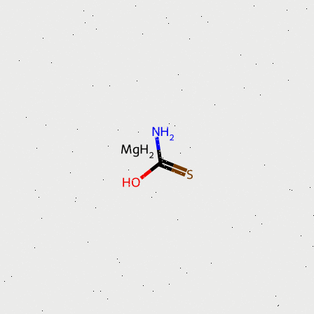 NC(O)=S.[MgH2]